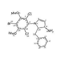 COc1c(Cl)c(N2C=CC(N)C2Cc2ccccc2)c(Cl)c(OC)c1Br